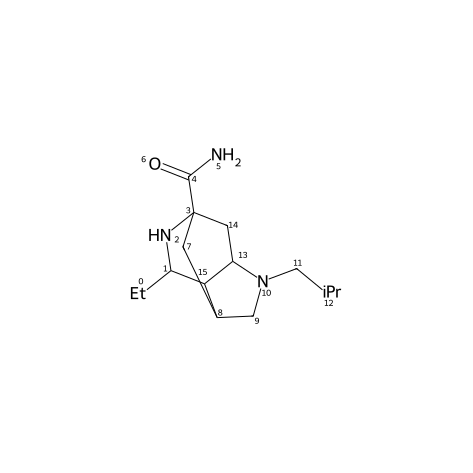 CCC1NC2(C(N)=O)CC3CN(CC(C)C)C(C2)C31